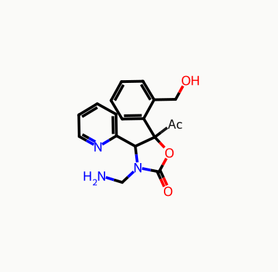 CC(=O)C1(c2ccccc2CO)OC(=O)N(CN)C1c1ccccn1